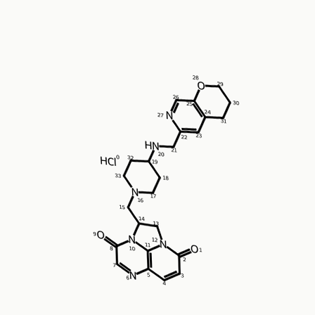 Cl.O=c1ccc2ncc(=O)n3c2n1CC3CN1CCC(NCc2cc3c(cn2)OCCC3)CC1